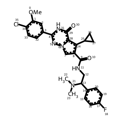 COc1cc(-c2nn3cc(C(=O)NCC(c4ccc(F)cc4)N(C)C)c(C4CC4)c3c(=O)[nH]2)ccc1Cl